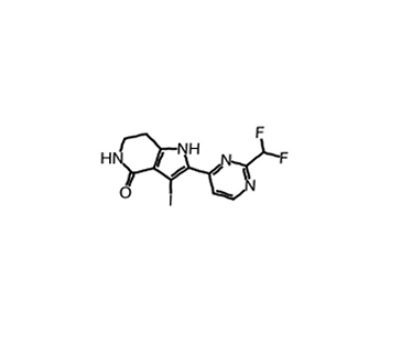 O=C1NCCc2[nH]c(-c3ccnc(C(F)F)n3)c(I)c21